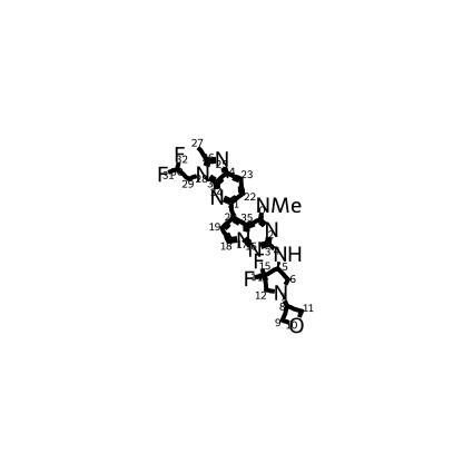 CNc1nc(N[C@H]2CN(C3COC3)CC2(F)F)nn2ccc(-c3ccc4nc(C)n(CC(F)F)c4n3)c12